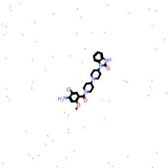 COc1cc(N)c(Cl)cc1C(=O)N1CCC(N2CCC(n3c(=O)[nH]c4ccccc43)CC2)CC1